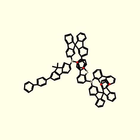 CC1(C)c2cc(-c3ccc(-c4ccccc4)cc3)ccc2-c2ccc(N(c3ccccc3)c3ccc4c(c3)C3(c5ccccc5-c5ccc(-c6ccc7c(c6)sc6c(N(c8ccc9c(c8)C8(c%10ccccc%10-c%10ccccc%108)c8ccccc8-9)c8cccc9c8sc8ccccc89)cccc67)cc53)c3ccccc3-4)cc21